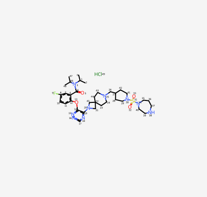 CC(C)N(C(=O)c1cc(F)ccc1Oc1nncnc1N1CC2(CCN(CC3CCN(S(=O)(=O)N4CCCNCC4)CC3)CC2)C1)C(C)C.Cl